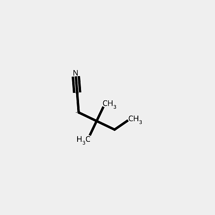 CCC(C)(C)[CH]C#N